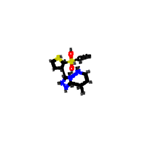 COS(=O)(=O)c1sccc1-c1nnc2c(C)ccnn12